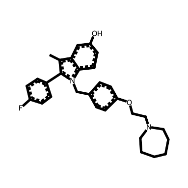 Cc1c(-c2ccc(F)cc2)n(Cc2ccc(OCCN3CCCCCC3)cc2)c2ccc(O)cc12